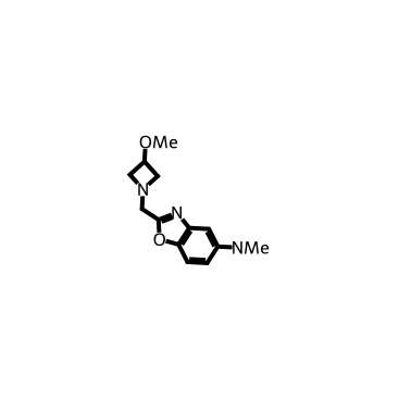 CNc1ccc2oc(CN3CC(OC)C3)nc2c1